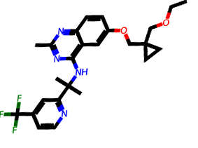 CCOCC1(COc2ccc3nc(C)nc(NC(C)(C)c4cc(C(F)(F)F)ccn4)c3c2)CC1